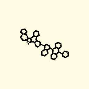 c1ccc(-c2c3ccccc3c(-c3ccc(-c4ccc5c(c4)c4ccccc4c4c5sc5ccc6ccccc6c54)c4ccccc34)c3ccccc23)cc1